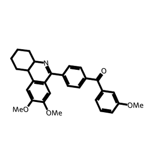 COc1cccc(C(=O)c2ccc(C3=NC4CCCCC4c4cc(OC)c(OC)cc43)cc2)c1